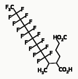 CC(C(CCCC(=O)O)C(=O)O)C(F)(F)C(F)(F)C(F)(F)C(F)(F)C(F)(F)C(F)(F)C(F)(F)C(F)(F)C(F)(F)F